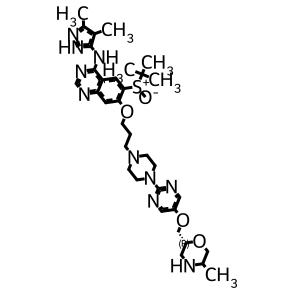 Cc1n[nH]c(Nc2ncnc3cc(OCCCN4CCN(c5ncc(OC[C@H]6CNC(C)CO6)cn5)CC4)c([S+]([O-])C(C)(C)C)cc23)c1C